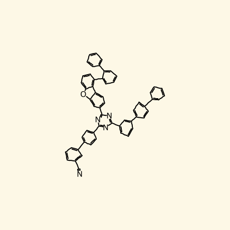 N#Cc1cccc(-c2ccc(-c3nc(-c4cccc(-c5ccc(-c6ccccc6)cc5)c4)nc(-c4ccc5c(c4)oc4cccc(-c6ccccc6-c6ccccc6)c45)n3)cc2)c1